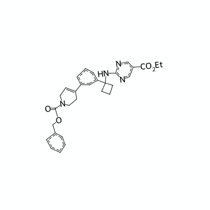 CCOC(=O)c1cnc(NC2(c3cccc(C4=CCN(C(=O)OCc5ccccc5)CC4)c3)CCC2)nc1